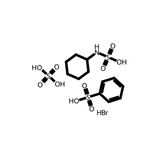 Br.O=S(=O)(O)NC1CCCCC1.O=S(=O)(O)O.O=S(=O)(O)c1ccccc1